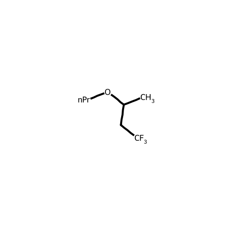 CCCOC(C)CC(F)(F)F